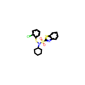 O=S(=O)(c1nc2ccccc2s1)N(Sc1ccccc1Cl)C1CCCCC1